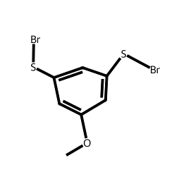 COc1cc(SBr)cc(SBr)c1